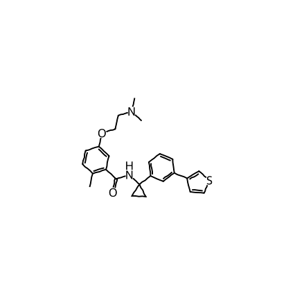 Cc1ccc(OCCN(C)C)cc1C(=O)NC1(c2cccc(-c3ccsc3)c2)CC1